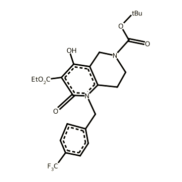 CCOC(=O)c1c(O)c2c(n(Cc3ccc(C(F)(F)F)cc3)c1=O)CCN(C(=O)OC(C)(C)C)C2